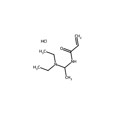 C=CC(=O)NC(C)N(CC)CC.Cl